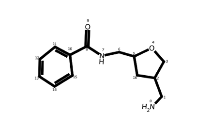 NCC1COC(CNC(=O)c2ccccc2)C1